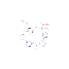 CCOc1cccnc1O[C@@H]1CCCN(c2cncc(NC(=O)[C@@H]3CCCN(c4cccc(CC(C)(C)C(=O)O)c4)C3)n2)C1